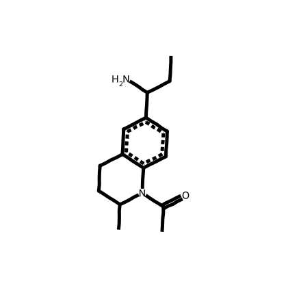 CCC(N)c1ccc2c(c1)CCC(C)N2C(C)=O